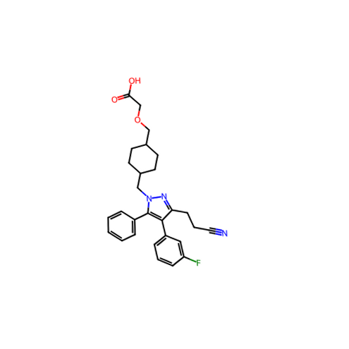 N#CCCc1nn(CC2CCC(COCC(=O)O)CC2)c(-c2ccccc2)c1-c1cccc(F)c1